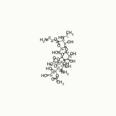 CCNC1C(O)[C@@H](O[C@@H]2OC(O[C@]3(C(=O)O)CC(O)[C@@H](N)C(C(OC(C)=O)C(O)CO)O3)[C@H](O)C(O)C2O)C(CO)O[C@H]1OCCN